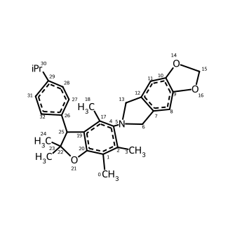 Cc1c(C)c(N2Cc3cc4c(cc3C2)OCO4)c(C)c2c1OC(C)(C)C2c1ccc(C(C)C)cc1